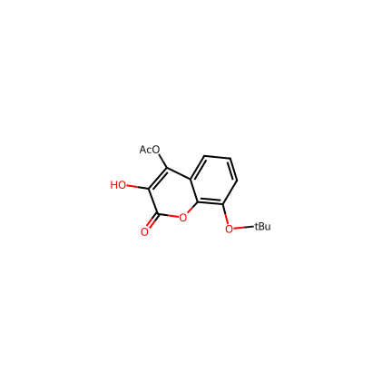 CC(=O)Oc1c(O)c(=O)oc2c(OC(C)(C)C)cccc12